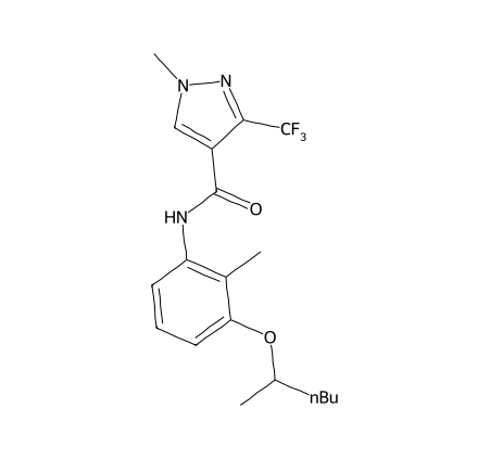 CCCCC(C)Oc1cccc(NC(=O)c2cn(C)nc2C(F)(F)F)c1C